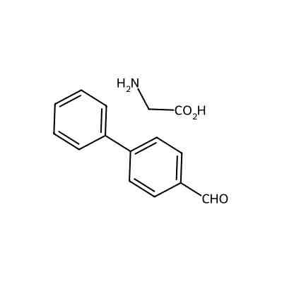 NCC(=O)O.O=Cc1ccc(-c2ccccc2)cc1